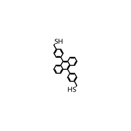 SCc1ccc(-c2c3ccccc3c(-c3ccc(CS)cc3)c3ccccc23)cc1